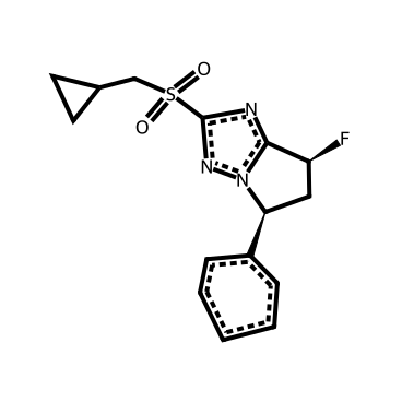 O=S(=O)(CC1CC1)c1nc2n(n1)[C@H](c1ccccc1)C[C@@H]2F